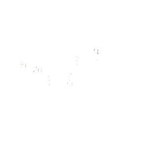 Cc1cc([C@H]2C[CH]([Zn][Br])CCO2)ccn1